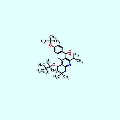 CC(C)c1nc2c(c(I)c1C(O)c1ccc(OC(C)(C)C)cc1)[C@@H](O[Si](C)(C)C(C)(C)C)CC(C)(C)C2